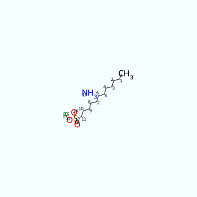 CCCCCCCCCCCCS(=O)(=O)OF.N